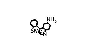 CSc1ccccc1-c1ccnc2ccc(N)cc12